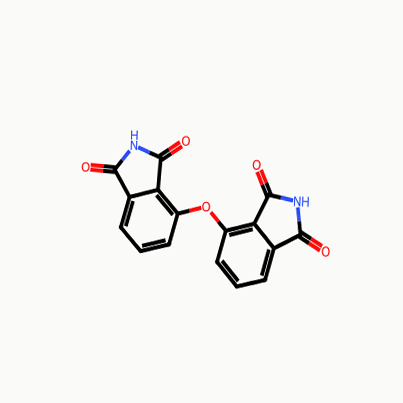 O=C1NC(=O)c2c(Oc3cccc4c3C(=O)NC4=O)cccc21